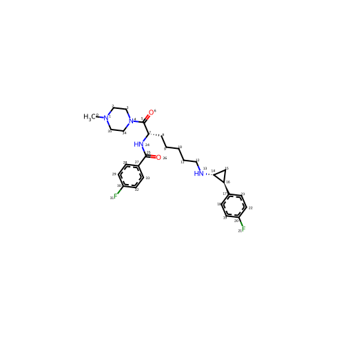 CN1CCN(C(=O)[C@H](CCCCCN[C@@H]2C[C@H]2c2ccc(F)cc2)NC(=O)c2ccc(F)cc2)CC1